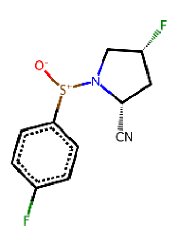 N#C[C@H]1C[C@@H](F)CN1[S+]([O-])c1ccc(F)cc1